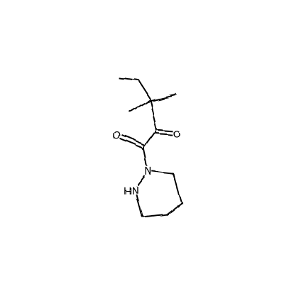 CCC(C)(C)C(=O)C(=O)N1CCCCN1